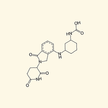 O=C(O)NC1CCCC(Nc2cccc3c2CN(C2CCC(=O)NC2=O)C3=O)C1